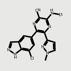 CCNc1nc(-c2ccn(C)n2)c(-c2cc(Cl)c3[nH]ncc3c2)nc1C#N